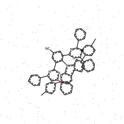 Cc1ccc(-c2ccc3c4ccc(-c5ccc(C)cc5)cc4n(-c4c(-c5nc(-c6ccccc6)cc(-c6ccccc6)n5)cc(C#N)cc4-c4nc(-c5ccccc5)cc(-c5ccccc5)n4)c3c2)cc1